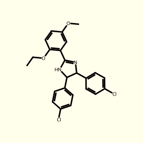 CCOc1ccc(OC)cc1C1=NC(c2ccc(Cl)cc2)C(c2ccc(Cl)cc2)N1